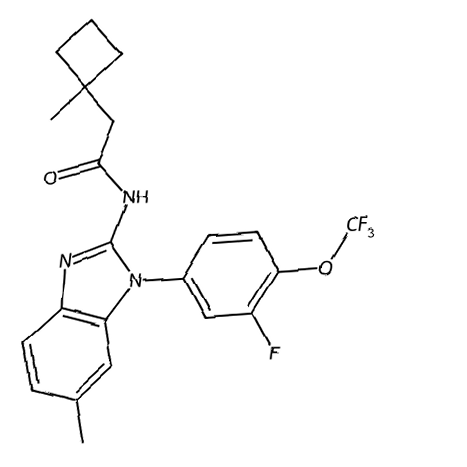 Cc1ccc2nc(NC(=O)CC3(C)CCC3)n(-c3ccc(OC(F)(F)F)c(F)c3)c2c1